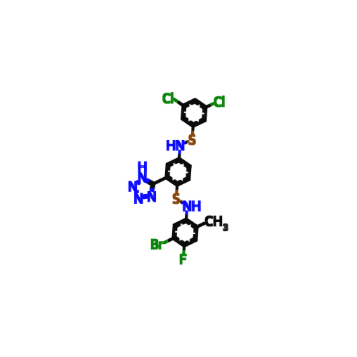 Cc1cc(F)c(Br)cc1NSc1ccc(NSc2cc(Cl)cc(Cl)c2)cc1-c1nnn[nH]1